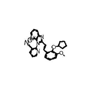 COc1cccc(/C=C/c2nc3ccc[n+]([O-])c3n2-c2ncccc2C#N)c1OC1CCCC1